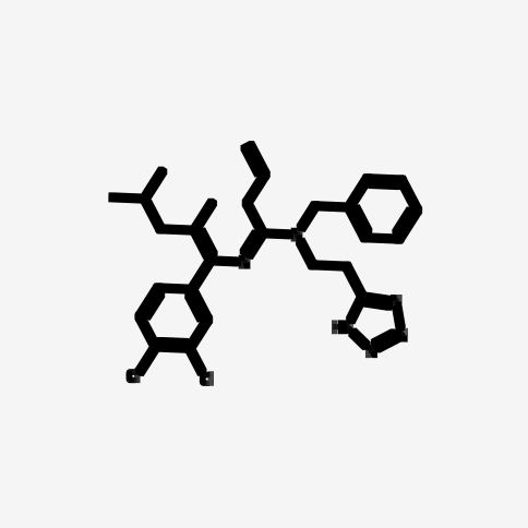 C=CC/C(=N\C(=C(/C)CC(C)C)c1ccc(Cl)c(Cl)c1)N(CCc1nnn[nH]1)Cc1ccccc1